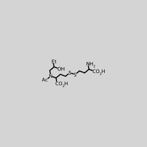 CCC(O)CN(C(C)=O)C(CCSSCCC(N)C(=O)O)C(=O)O